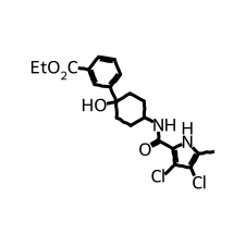 CCOC(=O)c1cccc(C2(O)CCC(NC(=O)c3[nH]c(C)c(Cl)c3Cl)CC2)c1